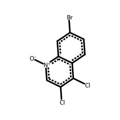 [O-][n+]1cc(Cl)c(Cl)c2ccc(Br)cc21